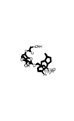 CCCCCCCCCCCC(=O)OC1C2OC3(OCC45CC6C(C)CCC6C6(C=O)CC4C=C(C(C)C)C65C(=O)O)OC2OC1C3O